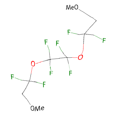 COCC(F)(F)OC(F)(F)C(F)(F)OC(F)(F)COC